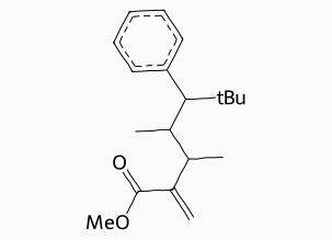 C=C(C(=O)OC)C(C)C(C)C(c1ccccc1)C(C)(C)C